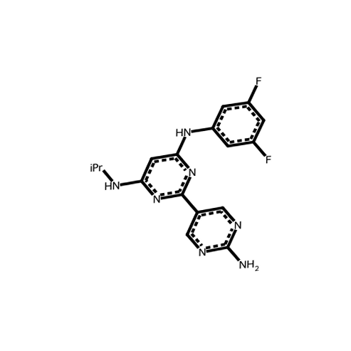 CC(C)Nc1cc(Nc2cc(F)cc(F)c2)nc(-c2cnc(N)nc2)n1